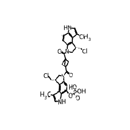 Cc1c[nH]c2[c]cc3c(c12)[C@H](CCl)CN3C(=O)C12CC(C(=O)N3C[C@@H](CCl)c4c3cc(OP(=O)(O)O)c3[nH]cc(C)c43)(C1)C2